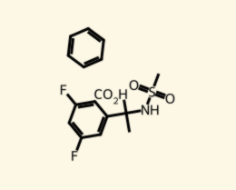 CC(NS(C)(=O)=O)(C(=O)O)c1cc(F)cc(F)c1.c1ccccc1